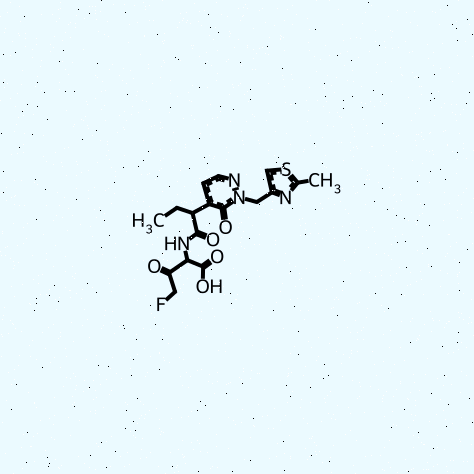 CCC(C(=O)NC(C(=O)O)C(=O)CF)c1ccnn(Cc2csc(C)n2)c1=O